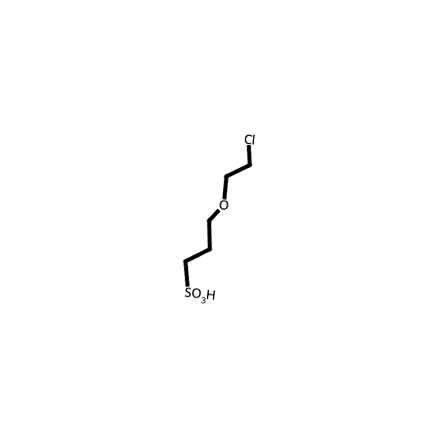 O=S(=O)(O)CCCOCCCl